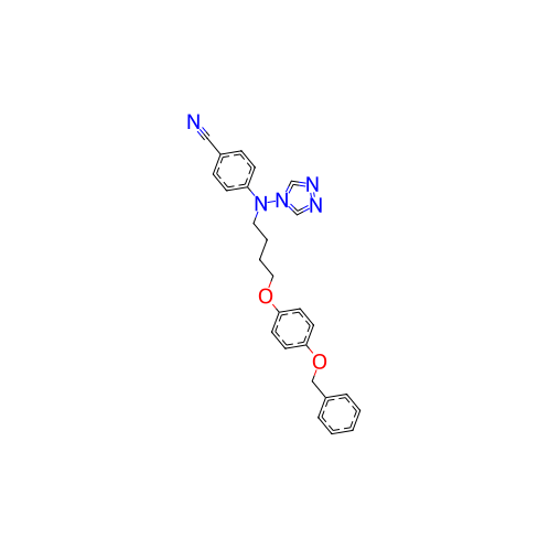 N#Cc1ccc(N(CCCCOc2ccc(OCc3ccccc3)cc2)n2cnnc2)cc1